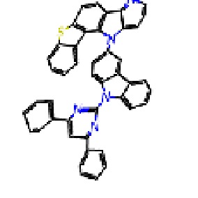 c1ccc(-c2cc(-c3ccccc3)nc(-n3c4ccccc4c4cc(-n5c6cccnc6c6ccc7sc8ccccc8c7c65)ccc43)n2)cc1